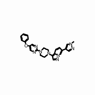 Cn1cc(-c2ccc3c(N4CCN(c5ncc(Oc6ccccc6)cn5)CC4)cnn3c2)cn1